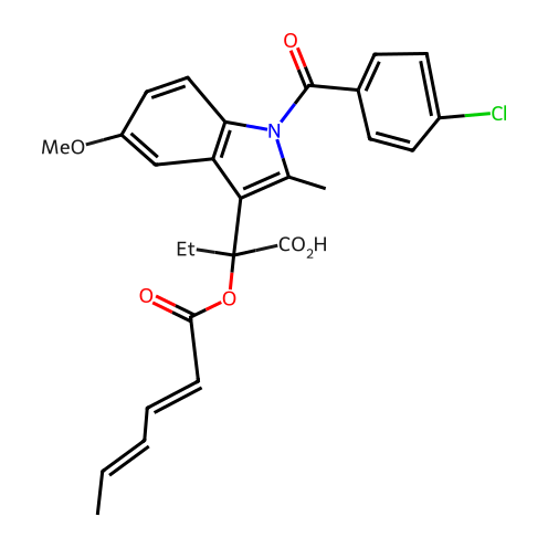 CC=CC=CC(=O)OC(CC)(C(=O)O)c1c(C)n(C(=O)c2ccc(Cl)cc2)c2ccc(OC)cc12